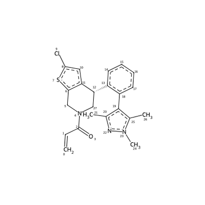 C=CC(=O)N1Cc2sc(Cl)cc2[C@H](c2ccccc2-c2c(C)nn(C)c2C)C1